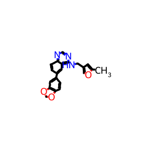 Cc1cc(CNc2ncnc3ccc(-c4ccc5c(c4)OCO5)cc23)co1